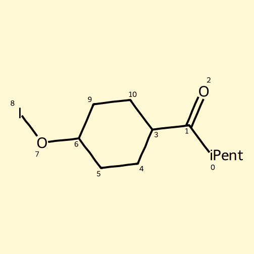 CCCC(C)C(=O)C1CCC(OI)CC1